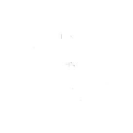 O=C(O)Nc1ccccc1Cc1ccccc1